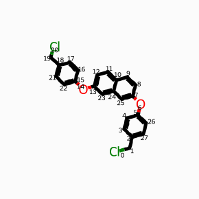 ClCc1ccc(Oc2ccc3ccc(Oc4ccc(CCl)cc4)cc3c2)cc1